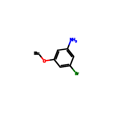 CCC(C)Oc1cc(N)cc(Br)c1